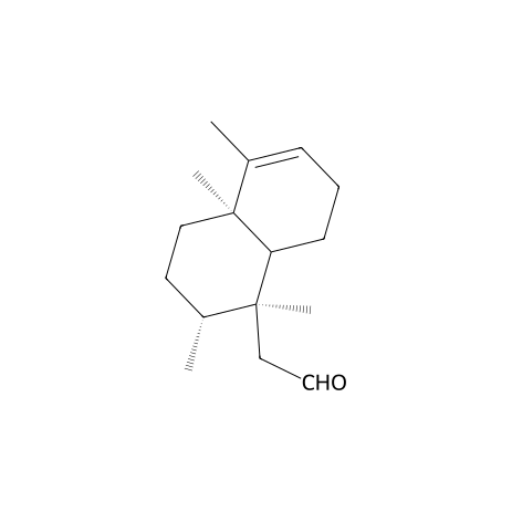 CC1=CCCC2[C@@]1(C)CC[C@@H](C)[C@]2(C)CC=O